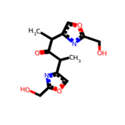 CC(C(=O)C(C)c1coc(CO)n1)c1coc(CO)n1